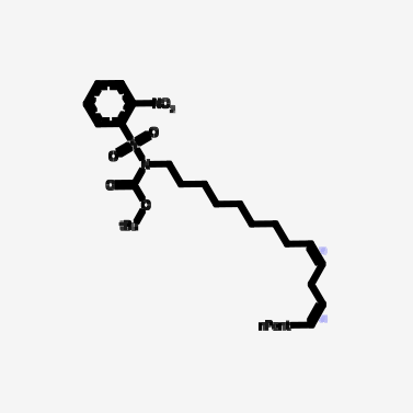 CCCCC/C=C\C/C=C\CCCCCCCCN(C(=O)OC(C)(C)C)S(=O)(=O)c1ccccc1[N+](=O)[O-]